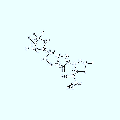 C[C@@H]1C[C@@H](c2nc3cc(B4OC(C)(C)C(C)(C)O4)ccc3[nH]2)N(C(=O)OC(C)(C)C)C1